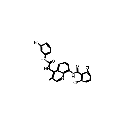 Cc1cnc2c(NC(=O)c3c(Cl)cccc3Cl)cccc2c1NC(=O)Nc1cccc(Br)c1